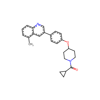 Cc1cccc2ncc(-c3ccc(OC4CCN(C(=O)C5CC5)CC4)cc3)cc12